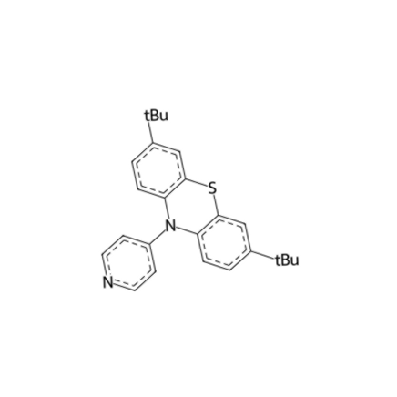 CC(C)(C)c1ccc2c(c1)Sc1cc(C(C)(C)C)ccc1N2c1ccncc1